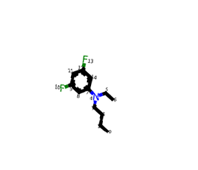 CCCCN(CC)c1cc(F)cc(F)c1